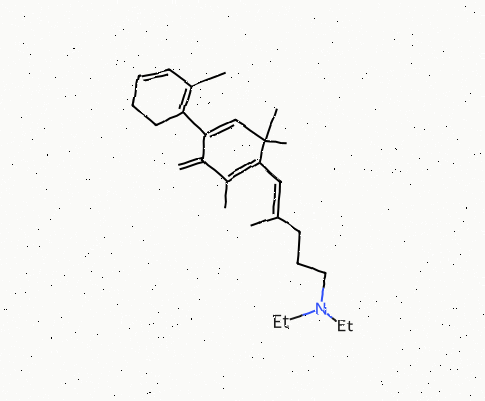 C=C1C(C2=C(C)C=CCC2)=CC(C)(C)C(/C=C(\C)CCCN(CC)CC)=C1C